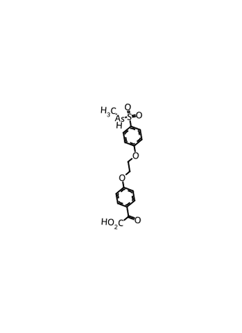 C[AsH]S(=O)(=O)c1ccc(OCCOc2ccc(C(=O)C(=O)O)cc2)cc1